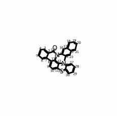 O=c1c2ccccc2c2ccc3c4c2n1-c1cc2ccccc2cc1N4c1ccccc1S3